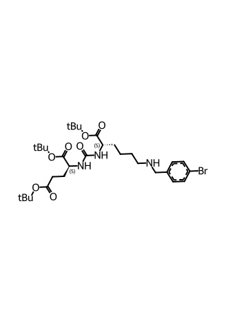 CC(C)(C)OC(=O)CC[C@H](NC(=O)N[C@@H](CCCCNCc1ccc(Br)cc1)C(=O)OC(C)(C)C)C(=O)OC(C)(C)C